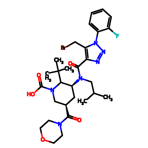 CC(C)CN(C(=O)c1nnn(-c2ccccc2F)c1CBr)[C@H]1C[C@@H](C(=O)N2CCOCC2)CN(C(=O)O)C1C(C)(C)C